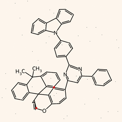 CC1(C)c2ccccc2C2(c3ccccc3Oc3ccc(-c4cc(-c5ccccc5)nc(-c5ccc(-n6c7ccccc7c7ccccc76)cc5)n4)cc32)c2ccccc21